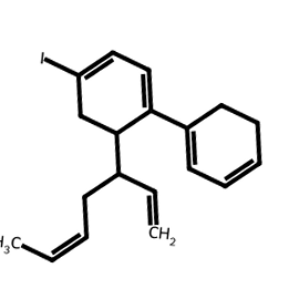 C=CC(C/C=C\C)C1CC(I)=CC=C1C1=CC=CCC1